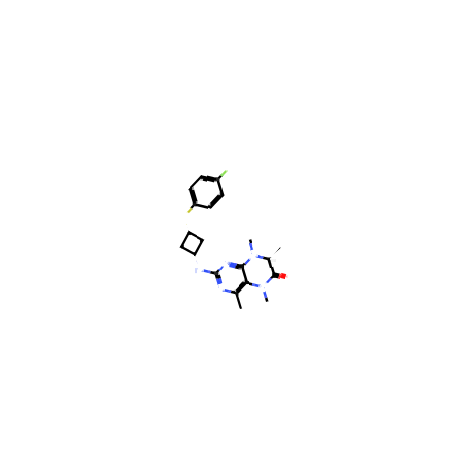 Cc1nc(N[C@H]2C[C@@H](Sc3ccc(F)cc3)C2)nc2c1N(C)C(=O)[C@H](C)N2C